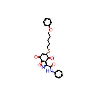 O=C(Nc1ccccc1)c1noc2c1C(=O)C(SCCCCCOc1ccccc1)=CC2=O